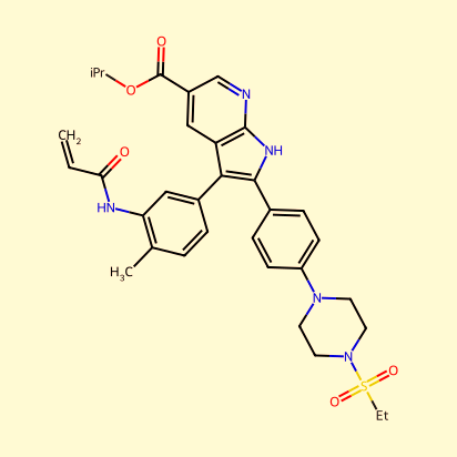 C=CC(=O)Nc1cc(-c2c(-c3ccc(N4CCN(S(=O)(=O)CC)CC4)cc3)[nH]c3ncc(C(=O)OC(C)C)cc23)ccc1C